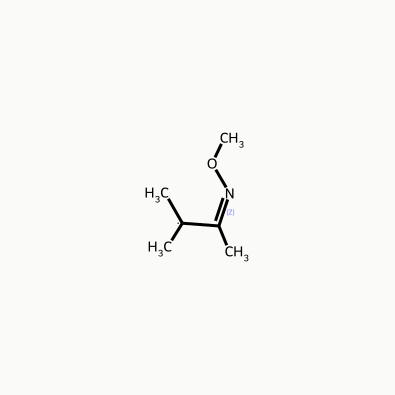 CO/N=C(/C)[C](C)C